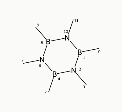 CB1N(C)B(C)N(C)B(C)N1C